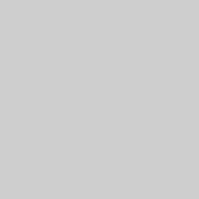 CCCC1CCC(C2CCC(C=CCOC)CC2)CC1